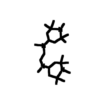 CN(CCN(C)C1CC(C)(C)N(C)C(C)(C)C1)C1CC(C)(C)N(C)C(C)(C)C1